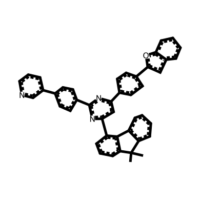 CC1(C)c2ccccc2-c2c(-c3cc(-c4ccc(-c5cc6ccccc6o5)cc4)nc(-c4ccc(-c5cccnc5)cc4)n3)cccc21